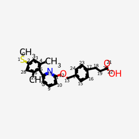 CSc1cc(C)c(-c2cccc(OCc3ccc(CCC(=O)O)cc3)n2)c(C)c1